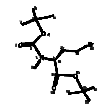 CN(C(=O)OC(C)(C)C)[C@@H](CCBr)C(=O)OC(C)(C)C